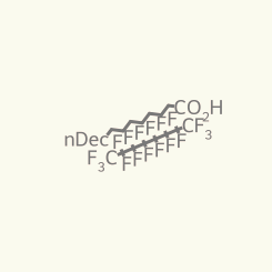 CCCCCCCCCCCCCCCCCC(=O)O.FC(F)(F)C(F)(F)C(F)(F)C(F)(F)C(F)(F)C(F)(F)C(F)(F)C(F)(F)F